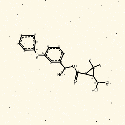 CC1(C)C(C(=O)OC(C#N)c2cccc(Oc3ccccc3)c2)C1C(Cl)Cl